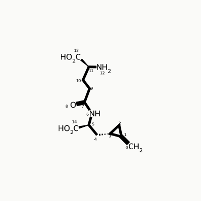 C=C1C[C@H]1C[C@H](NC(=O)CC[C@H](N)C(=O)O)C(=O)O